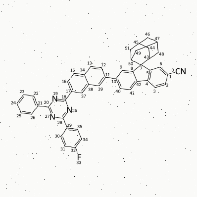 N#Cc1ccc2c(c1)C1(c3cc(-c4ccc5ccc(-c6nc(-c7ccccc7)nc(-c7ccc(F)cc7)n6)cc5c4)ccc3-2)C2CC3CC(C2)CC1C3